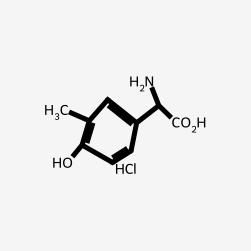 Cc1cc(C(N)C(=O)O)ccc1O.Cl